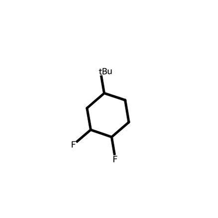 CC(C)(C)C1CCC(F)C(F)C1